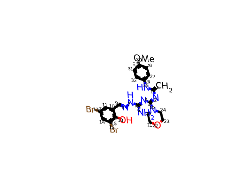 C=C(/N=C(\N=C(/N)N/N=C/c1cc(Br)cc(Br)c1O)N1CCOCC1)Nc1ccc(OC)cc1